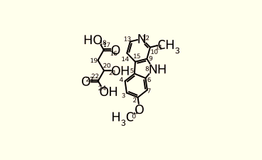 COc1ccc2c(c1)[nH]c1c(C)nccc12.O=C(O)CC(O)C(=O)O